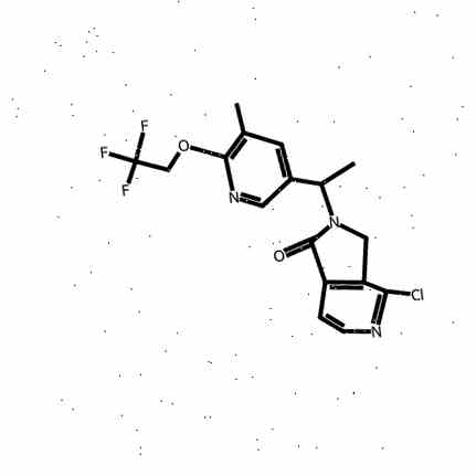 Cc1cc(C(C)N2Cc3c(ccnc3Cl)C2=O)cnc1OCC(F)(F)F